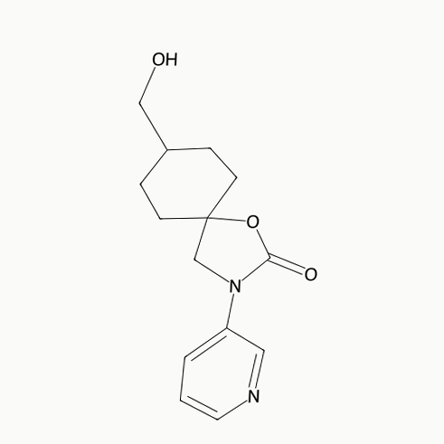 O=C1OC2(CCC(CO)CC2)CN1c1cccnc1